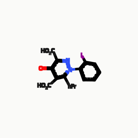 CCCc1c(C(=O)O)c(=O)c(C(=O)O)nn1-c1ccccc1I